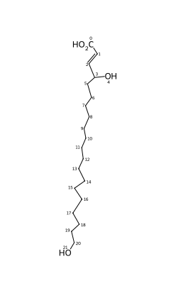 O=C(O)C=CC(O)CCCCCCCCCCCCCCCCO